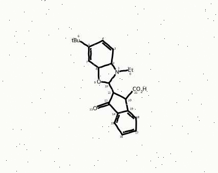 CCN1C2C=CC(C(C)(C)C)=CC2OC1C1C(=O)c2ccccc2C1C(=O)O